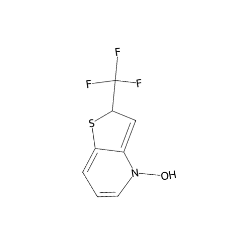 ON1C=CC=C2SC(C(F)(F)F)C=C21